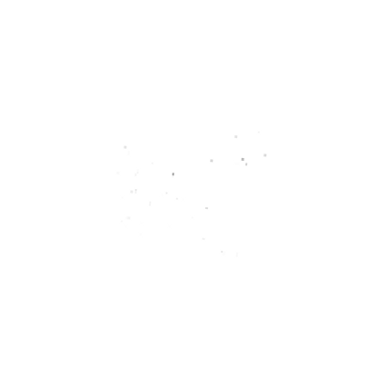 CCCOC(=O)c1[nH]c(CNC(=O)c2ncc[nH]2)c(-c2ccc(CO)c(CO)c2CO)c1Cl